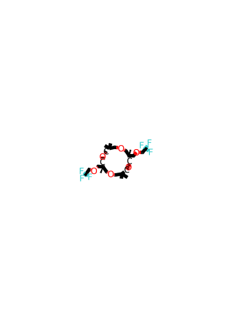 CC1(C)COC[C@](C)(COCC(F)(F)F)COCC(C)(C)COC[C@](C)(COCC(F)(F)F)COC1